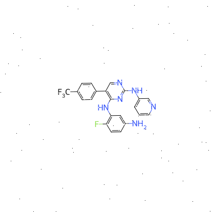 Nc1ccc(F)c(Nc2nc(Nc3cccnc3)ncc2-c2ccc(C(F)(F)F)cc2)c1